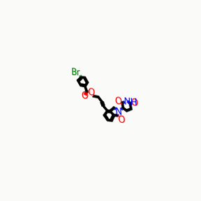 O=C1CCC(N2Cc3c(C#CCCOC(=O)c4ccc(Br)cc4)cccc3C2=O)C(=O)N1